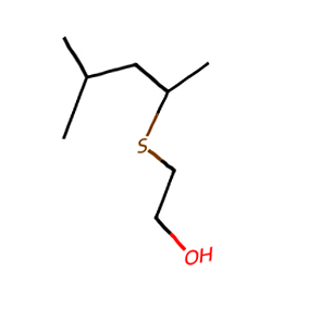 CC(C)CC(C)SCCO